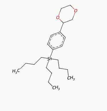 CCC[CH2][Sn]([CH2]CCC)([CH2]CCC)[c]1ccc(C2COCCO2)cc1